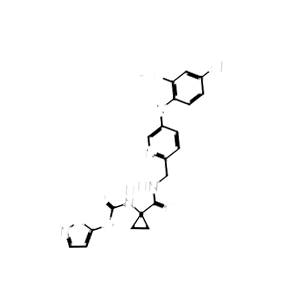 O=C(NC1(C(=O)NCc2ccc(Nc3ccc(Cl)cc3C(F)(F)F)cn2)CC1)Oc1ccns1